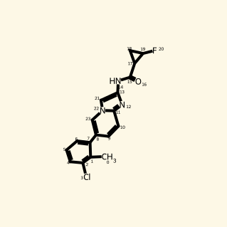 Cc1c(Cl)cccc1-c1ccc2nc(NC(=O)C3CC3F)cn2c1